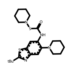 CC(C)(C)c1nc2cc(N3CCCCC3)c(NC(=O)SN3CCCCC3)cc2s1